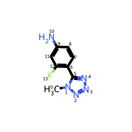 Cn1nnnc1-c1ccc(N)cc1F